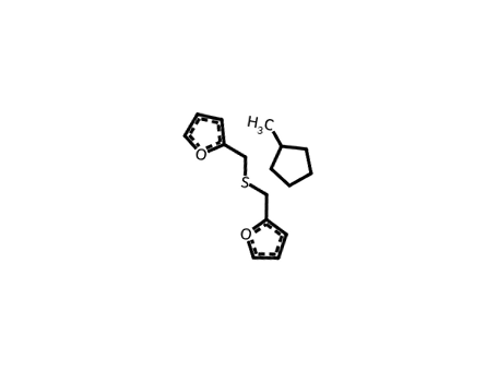 CC1CCCC1.c1coc(CSCc2ccco2)c1